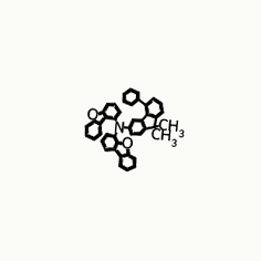 CC1(C)c2ccc(N(c3cccc4c3oc3ccccc34)c3cccc4oc5ccccc5c34)cc2-c2c(-c3ccccc3)cccc21